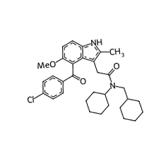 COc1ccc2[nH]c(C)c(CC(=O)N(CC3CCCCC3)C3CCCCC3)c2c1C(=O)c1ccc(Cl)cc1